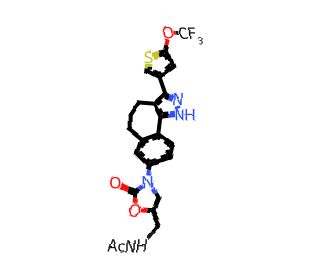 CC(=O)NCC1CN(c2ccc3c(c2)CCCc2c(-c4csc(OC(F)(F)F)c4)n[nH]c2-3)C(=O)O1